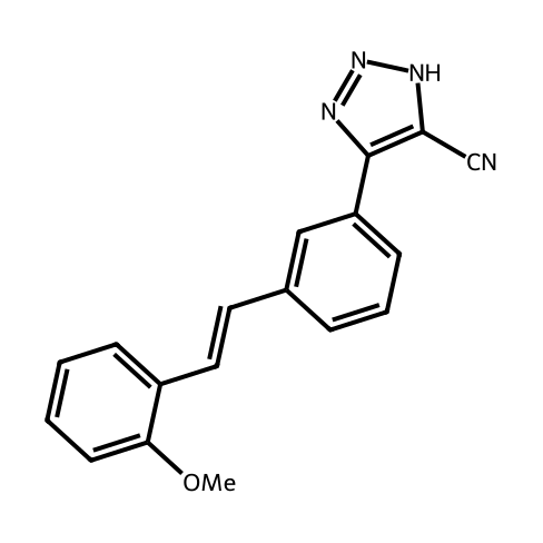 COc1ccccc1/C=C/c1cccc(-c2nn[nH]c2C#N)c1